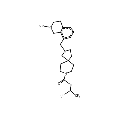 CCCN1CCc2cccc(CN3CCC4(CCN(C(=O)OC(C(F)(F)F)C(F)(F)F)CC4)C3)c2C1